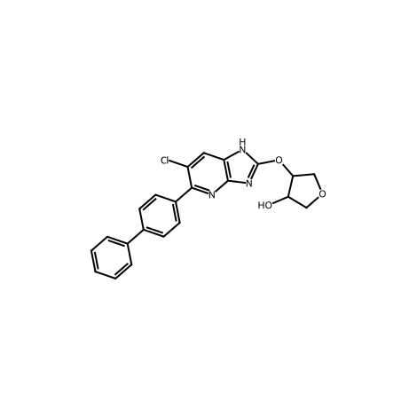 OC1COCC1Oc1nc2nc(-c3ccc(-c4ccccc4)cc3)c(Cl)cc2[nH]1